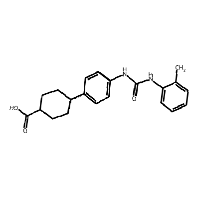 Cc1ccccc1NC(=O)Nc1ccc(C2CCC(C(=O)O)CC2)cc1